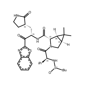 CC(C)[C@H](N[S+]([O-])C(C)(C)C)C(=O)N1C[C@H]2[C@@H]([C@H]1C(=O)N[C@@H](C[C@@H]1CCNC1=O)C(=O)c1nc3ccccc3s1)C2(C)C